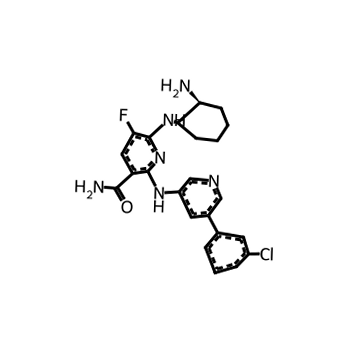 NC(=O)c1cc(F)c(N[C@@H]2CCCC[C@@H]2N)nc1Nc1cncc(-c2cccc(Cl)c2)c1